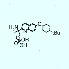 CC(N)(COP(=O)(O)O)c1ccc2cc(O[C@H]3CC[C@H](C(C)(C)C)CC3)ccc2n1